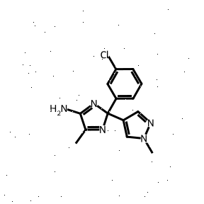 CC1=NC(c2cccc(Cl)c2)(c2cnn(C)c2)N=C1N